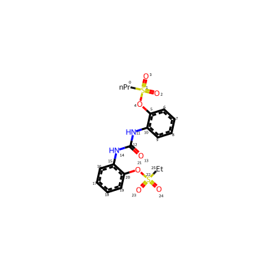 CCCS(=O)(=O)Oc1ccccc1NC(=O)Nc1ccccc1OS(=O)(=O)CC